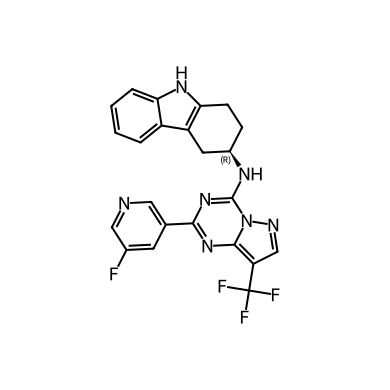 Fc1cncc(-c2nc(N[C@@H]3CCc4[nH]c5ccccc5c4C3)n3ncc(C(F)(F)F)c3n2)c1